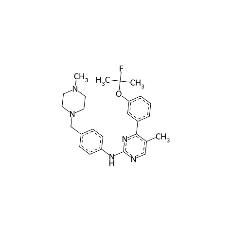 Cc1cnc(Nc2ccc(CN3CCN(C)CC3)cc2)nc1-c1cccc(OC(C)(C)F)c1